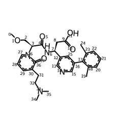 COC[C@@H](C(=O)N[C@@H](CC(=O)O)c1cncc(-c2c(C)cccc2C)c1)n1cccc(CCN(C)C)c1=O